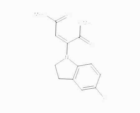 COC(=O)/C=C(\C(=O)OC)N1CCc2cc(F)ccc21